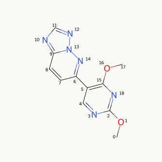 COc1ncc(-c2ccc3ncnn3n2)c(OC)n1